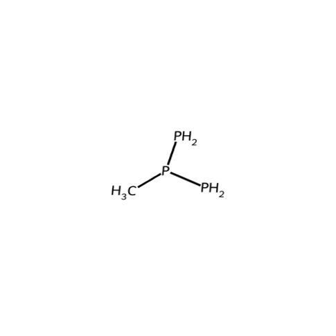 CP(P)P